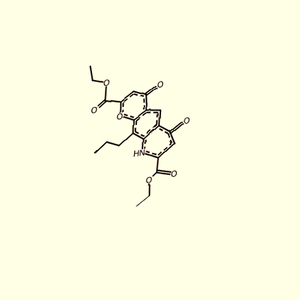 CCCc1c2[nH]c(C(=O)OCC)cc(=O)c2cc2c(=O)cc(C(=O)OCC)oc12